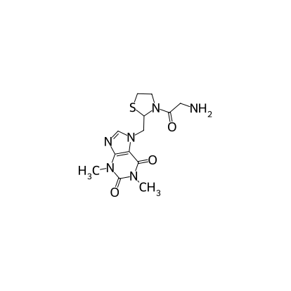 Cn1c(=O)c2c(ncn2CC2SCCN2C(=O)CN)n(C)c1=O